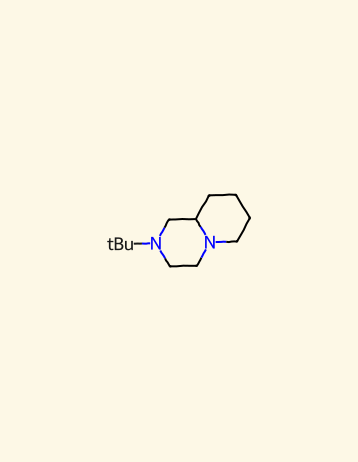 CC(C)(C)N1CCN2CCCCC2C1